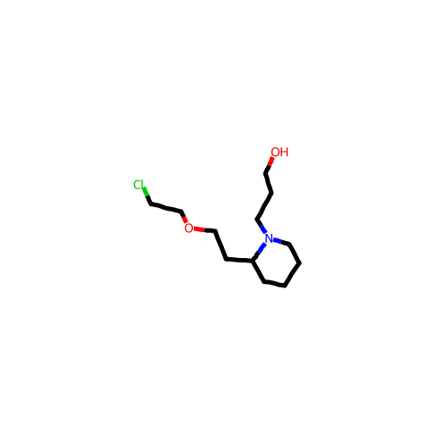 OCCCN1CCCCC1CCOCCCl